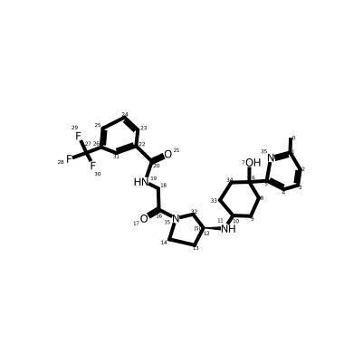 Cc1cccc(C2(O)CCC(N[C@H]3CCN(C(=O)CNC(=O)c4cccc(C(F)(F)F)c4)C3)CC2)n1